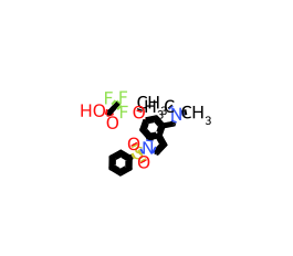 COc1cc(CN(C)C)c2ccn(S(=O)(=O)c3ccccc3)c2c1.O=C(O)C(F)(F)F